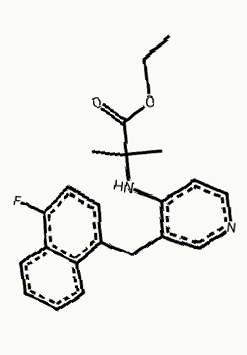 CCOC(=O)C(C)(C)Nc1ccncc1Cc1ccc(F)c2ccccc12